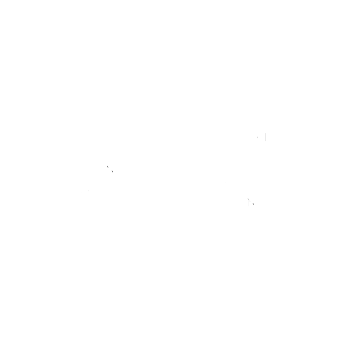 Nc1cc(-c2ccon2)ccc1Cl